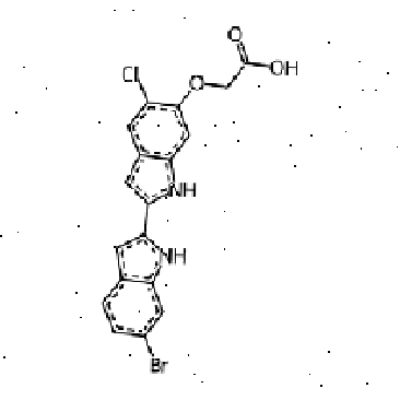 O=C(O)COc1cc2[nH]c(-c3cc4ccc(Br)cc4[nH]3)cc2cc1Cl